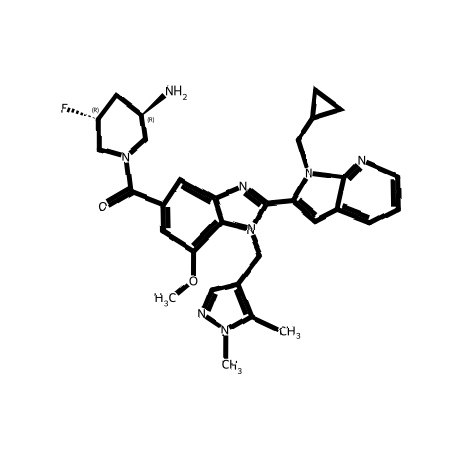 COc1cc(C(=O)N2C[C@H](N)C[C@@H](F)C2)cc2nc(-c3cc4cccnc4n3CC3CC3)n(Cc3cnn(C)c3C)c12